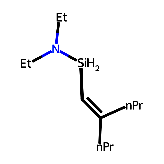 CCCC(=C[SiH2]N(CC)CC)CCC